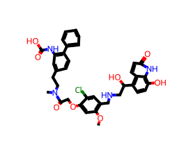 COc1cc(OCC(=O)N(C)CCc2ccc(-c3ccccc3)c(NC(=O)O)c2)c(Cl)cc1CNCC(O)c1ccc(O)c2[nH]c(=O)ccc12